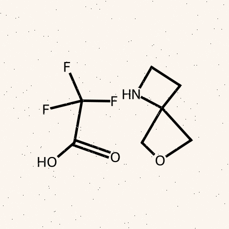 C1CC2(COC2)N1.O=C(O)C(F)(F)F